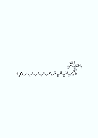 CCCCCCCCCCCCCCCCCCC1CC1C(C)C(=O)O